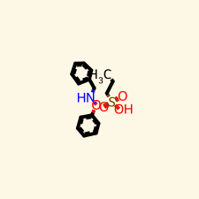 CCCS(=O)(=O)O.c1ccc(CNOc2ccccc2)cc1